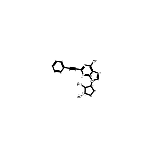 Oc1nc(C#Cc2ccccc2)nc2c1ncn2C1CC[C@H](O)C1O